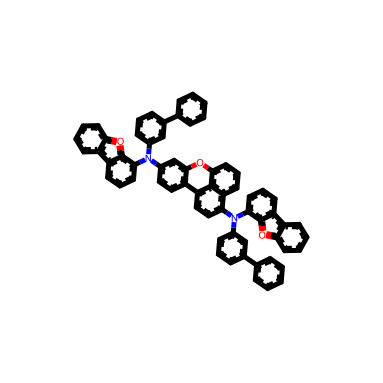 c1ccc(-c2cccc(N(c3ccc4c(c3)Oc3cccc5c(N(c6cccc(-c7ccccc7)c6)c6cccc7c6oc6ccccc67)ccc-4c35)c3cccc4c3oc3ccccc34)c2)cc1